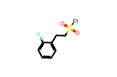 CCS(=O)(=O)CCc1ccccc1F